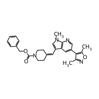 Cc1noc(C)c1-c1cnc2c(c1)c(C=C1CCN(C(=O)OCc3ccccc3)CC1)cn2C